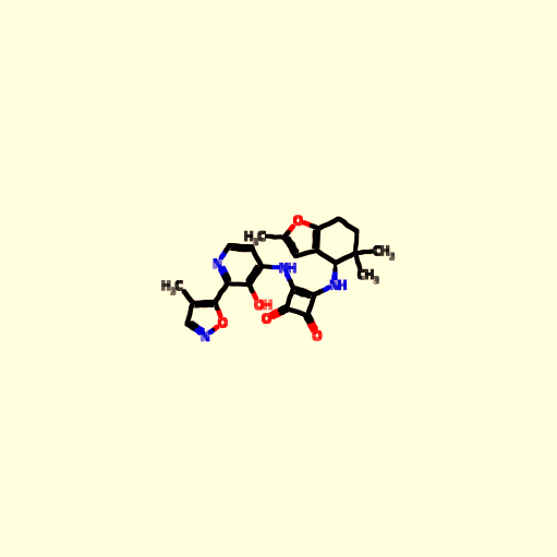 Cc1cc2c(o1)CCC(C)(C)[C@H]2Nc1c(Nc2ccnc(-c3oncc3C)c2O)c(=O)c1=O